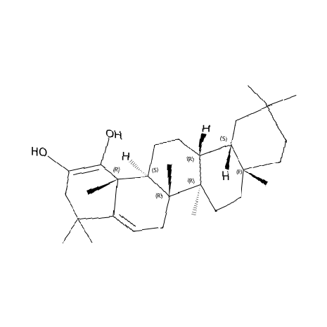 CC1(C)CC[C@]2(C)CC[C@]3(C)[C@H](CC[C@@H]4[C@]5(C)C(=CC[C@]43C)C(C)(C)CC(O)=C5O)[C@@H]2C1